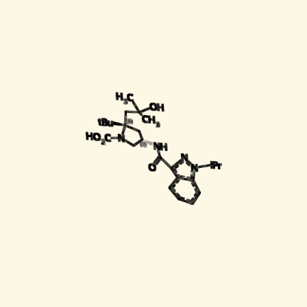 CC(C)n1nc(C(=O)N[C@@H]2CN(C(=O)O)[C@@](CC(C)(C)O)(C(C)(C)C)C2)c2ccccc21